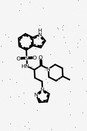 CC1CCN(C(=O)C(CCn2cccn2)NS(=O)(=O)c2cccc3[nH]ccc23)CC1